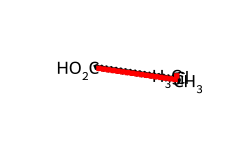 C[Si](C)(Cl)CCCCCCCCCCCCCCCCCCCCCCCCCCCCCCCCCCC(=O)O